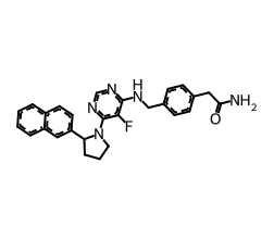 NC(=O)Cc1ccc(CNc2ncnc(N3CCCC3c3ccc4ccccc4c3)c2F)cc1